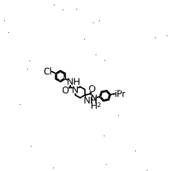 CC(C)c1ccc(NC(=O)C2(N)CCN(C(=O)Nc3ccc(Cl)cc3)CC2)cc1